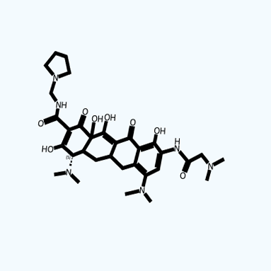 CN(C)CC(=O)Nc1cc(N(C)C)c2c(c1O)C(=O)C1=C(O)C3(O)C(=O)C(C(=O)NCN4CCCC4)=C(O)[C@@H](N(C)C)C3CC1C2